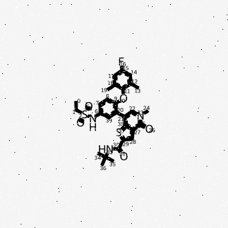 CCS(=O)(=O)Nc1ccc(Oc2c(C)cc(F)cc2C)c(-c2cn(C)c(=O)c3cc(C(=O)NC(C)(C)C)sc23)c1